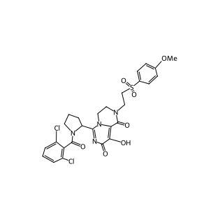 COc1ccc(S(=O)(=O)CCN2CCn3c(C4CCCN4C(=O)c4c(Cl)cccc4Cl)nc(=O)c(O)c3C2=O)cc1